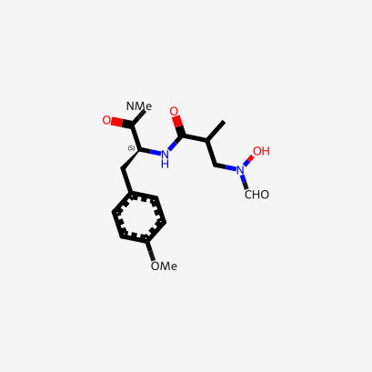 CNC(=O)[C@H](Cc1ccc(OC)cc1)NC(=O)C(C)CN(O)C=O